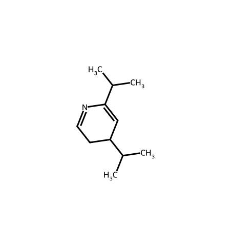 CC(C)C1=CC(C(C)C)CC=N1